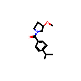 CO[C@@H]1CCN(C(=O)c2ccc(C(C)C)cc2)C1